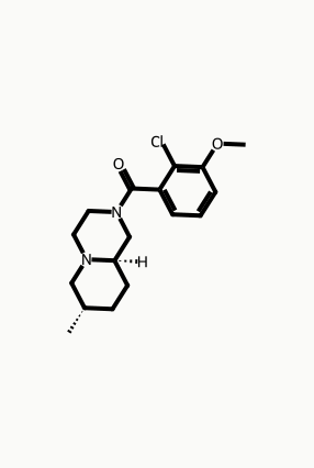 COc1cccc(C(=O)N2CCN3C[C@@H](C)CC[C@@H]3C2)c1Cl